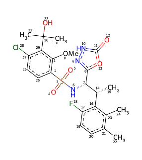 COc1c(S(=O)(=O)N[C@H](c2n[nH]c(=O)o2)[C@H](C)c2c(F)ccc(C)c2C)ccc(Cl)c1C(C)(C)O